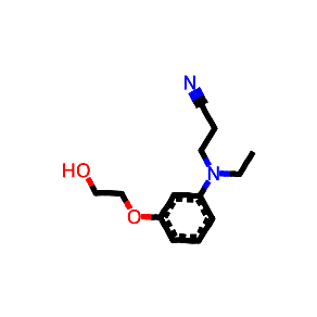 CCN(CCC#N)c1cccc(OCCO)c1